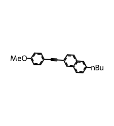 CCCCc1ccc2cc(C#Cc3ccc(OC)cc3)ccc2c1